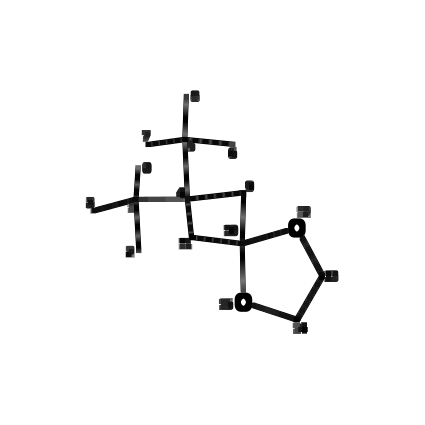 CC(C)(C)C1(C(C)(C)C)CC2(C1)OCCO2